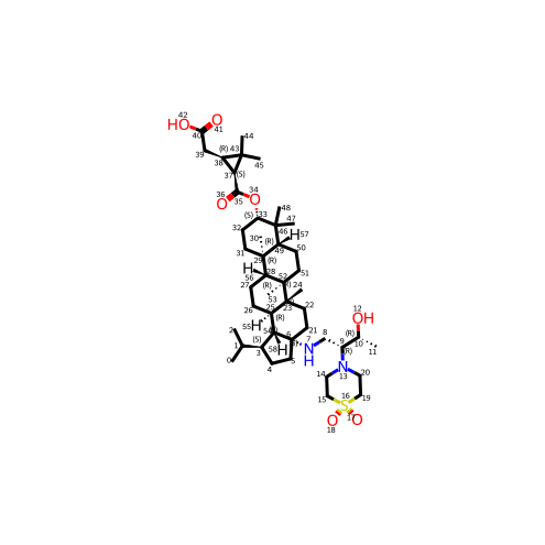 CC(C)[C@@H]1CC[C@]2(NC[C@H]([C@@H](C)O)N3CCS(=O)(=O)CC3)CC[C@]3(C)[C@H](CC[C@@H]4[C@@]5(C)CC[C@H](OC(=O)[C@H]6[C@@H](CC(=O)O)C6(C)C)C(C)(C)[C@@H]5CC[C@]43C)[C@@H]12